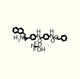 NC1(Cc2ccc3ccccc3c2)CC1c1ccc(NC(=O)c2ccc(NC(=O)OCc3ccccc3)cc2)cc1.O=C(O)C(F)(F)F